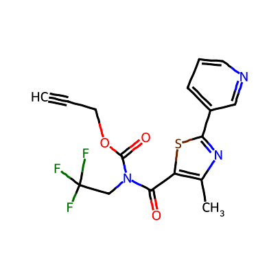 C#CCOC(=O)N(CC(F)(F)F)C(=O)c1sc(-c2cccnc2)nc1C